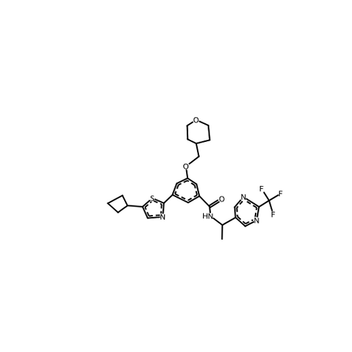 CC(NC(=O)c1cc(OCC2CCOCC2)cc(-c2ncc(C3CCC3)s2)c1)c1cnc(C(F)(F)F)nc1